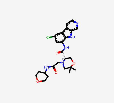 CC1(C)CN(CC(=O)NC2CCOCC2)[C@H](C(=O)Nc2cc(Cl)cc3c2[nH]c2cnccc23)CO1